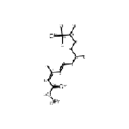 CC(C=CCC(C)CCC(C)C(C)(C)Cl)=CC(=O)OC(C)C